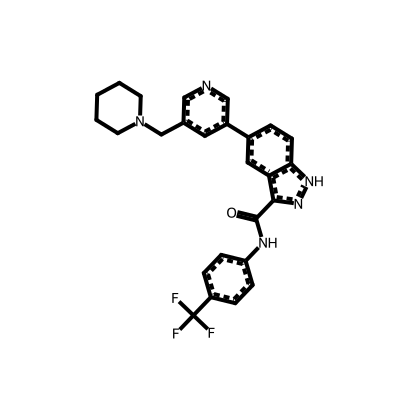 O=C(Nc1ccc(C(F)(F)F)cc1)c1n[nH]c2ccc(-c3cncc(CN4CCCCC4)c3)cc12